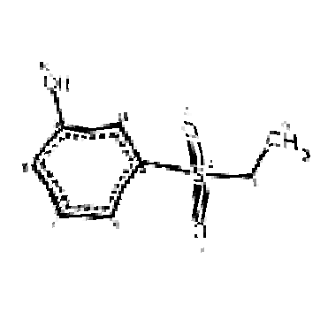 CCS(=O)(=O)c1cccc(O)c1